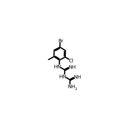 Cc1cc(Br)cc(Cl)c1NC(=N)NC(=N)N